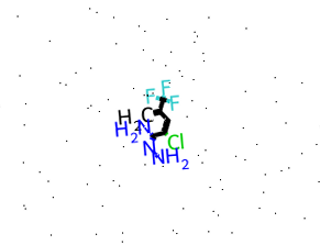 C=C(/C=C(Cl)\C(N)=N/N)C(F)(F)F